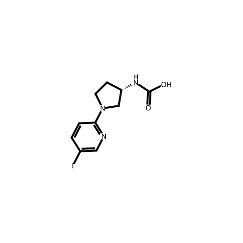 O=C(O)N[C@H]1CCN(c2ccc(I)cn2)C1